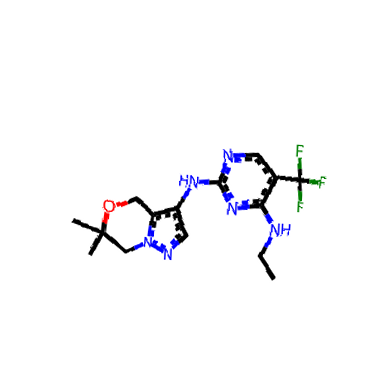 CCNc1nc(Nc2cnn3c2COC(C)(C)C3)ncc1C(F)(F)F